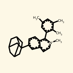 Cc1cc(C)c(C)c(-c2c3ccc(C45CC6CC(CC(C6)C4)C5)cc3cc[n+]2C)c1